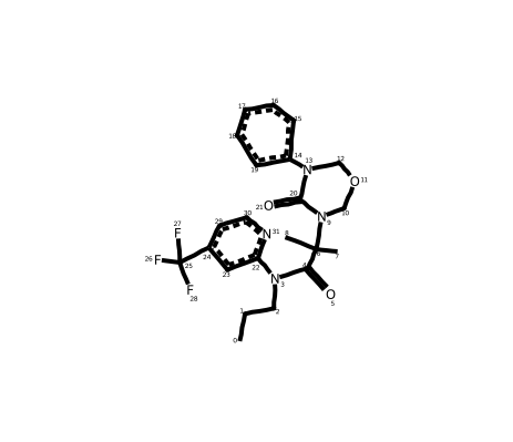 CCCN(C(=O)C(C)(C)N1COCN(c2ccccc2)C1=O)c1cc(C(F)(F)F)ccn1